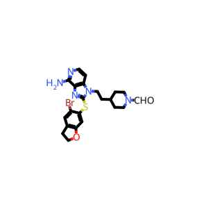 Nc1nccc2c1nc(Sc1cc3c(cc1Br)CCO3)n2CCC1CCN(C=O)CC1